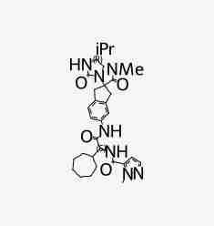 CNC(=O)C1(N2C[C@@H](C(C)C)NC2=O)Cc2ccc(NC(=O)[C@@H](NC(=O)c3ccnn3C)C3CCCCCC3)cc2C1